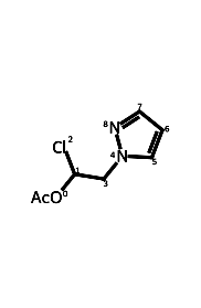 CC(=O)OC(Cl)Cn1cccn1